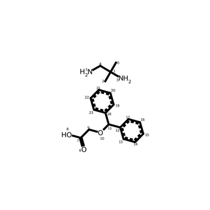 CC(C)(N)CN.O=C(O)COC(c1ccccc1)c1ccccc1